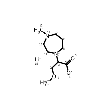 COCC(C(=O)[O-])N1CCCN(C)CC1.[Li+]